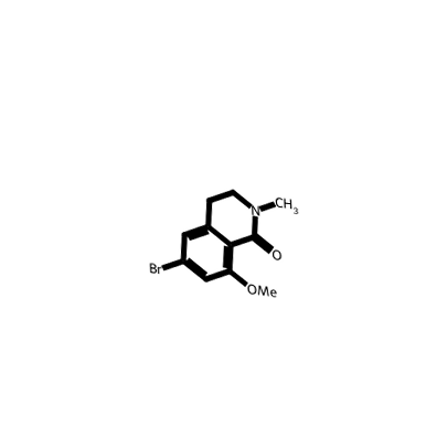 COc1cc(Br)cc2c1C(=O)N(C)CC2